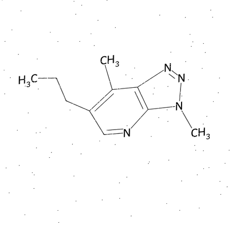 CCCc1cnc2c(nnn2C)c1C